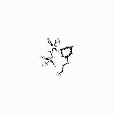 ClCCSc1ccccc1.O=S(=O)(O)OOS(=O)(=O)O